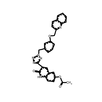 CC(=O)Oc1ccc2[nH]c(=O)c(-c3nnn(Cc4cccc(OCc5ccc6ccccc6n5)c4)n3)cc2c1